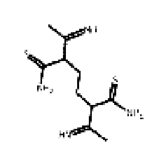 CC(=N)C(CCC(C(C)=N)C(N)=S)C(N)=S